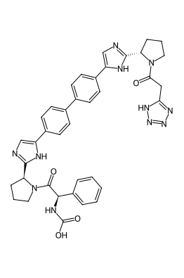 O=C(O)N[C@@H](C(=O)N1CCC[C@H]1c1ncc(-c2ccc(-c3ccc(-c4cnc([C@@H]5CCCN5C(=O)Cc5nnn[nH]5)[nH]4)cc3)cc2)[nH]1)c1ccccc1